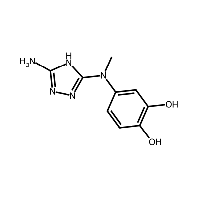 CN(c1ccc(O)c(O)c1)c1nnc(N)[nH]1